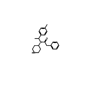 Cc1ccc(C(C)N(C(=O)Cc2ccccc2)C2CCNCC2)cc1